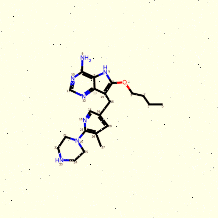 CCCCOc1[nH]c2c(N)ncnc2c1Cc1cnc(N2CCNCC2)c(C)c1